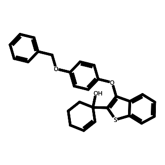 OC1(c2sc3ccccc3c2Oc2ccc(OCc3ccccc3)cc2)C=CCCC1